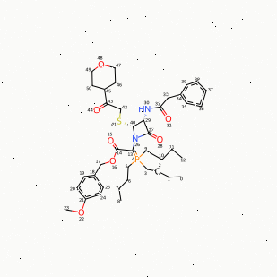 CCCCP(CCCC)(CCCC)=C(C(=O)OCc1ccc(OC)cc1)N1C(=O)[C@@H](NC(=O)Cc2ccccc2)[C@H]1SCC(=O)C1CCOCC1